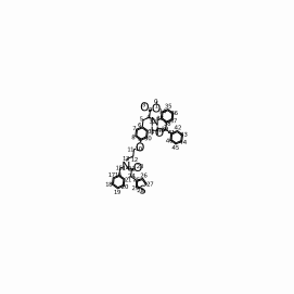 COC(=O)C(Cc1ccc(OCCCN(Cc2ccccc2)C(=O)Cc2ccsc2)cc1)Nc1ccccc1C(=O)c1ccccc1